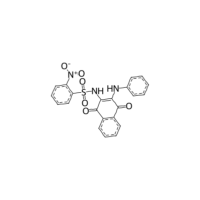 O=C1C(Nc2ccccc2)=C(NS(=O)(=O)c2ccccc2[N+](=O)[O-])C(=O)c2ccccc21